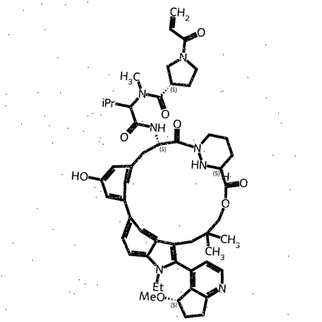 C=CC(=O)N1CC[C@H](C(=O)N(C)C(C(=O)N[C@H]2Cc3cc(O)cc(c3)-c3ccc4c(c3)c(c(-c3ccnc5c3[C@@H](OC)CC5)n4CC)CC(C)(C)COC(=O)[C@@H]3CCCN(N3)C2=O)C(C)C)C1